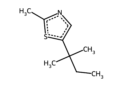 CCC(C)(C)c1cnc(C)s1